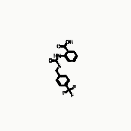 O=C(Nc1ccccc1C(=O)O)SCc1ccc(C(F)(F)F)cc1